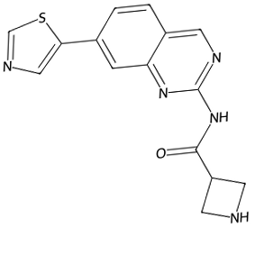 O=C(Nc1ncc2ccc(-c3cncs3)cc2n1)C1CNC1